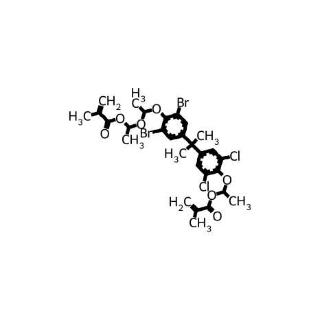 C=C(C)C(=O)OC(C)Oc1c(Cl)cc(C(C)(C)c2cc(Br)c(OC(C)OC(C)OC(=O)C(=C)C)c(Br)c2)cc1Cl